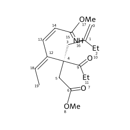 C=C(CC)C[C@@](CC(=O)OC)(C(=O)CC)C(/C=C\C(=N)OC)=C\C